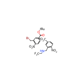 CC(C)(C)OC(=O)c1ccc([N+](=O)[O-])c(CBr)c1.O=C(O)c1ccc([N+](=O)[O-])c(CNCC(F)(F)F)c1